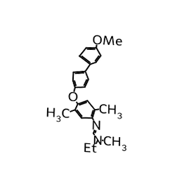 CCN(C)/C=N/c1cc(C)c(Oc2ccc(-c3ccc(OC)cc3)cc2)cc1C